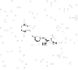 O=C(O)C(S)=Cc1cc(CCc2ccccc2)cs1